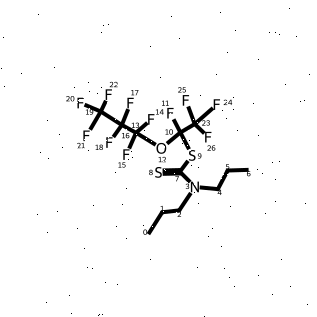 CCCN(CCC)C(=S)SC(F)(OC(F)(F)C(F)(F)C(F)(F)F)C(F)(F)F